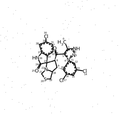 Cc1[nH]nnc1C(=O)[C@H]1[C@H](c2ccc(Cl)cc2Cl)C2CSCN2[C@]12C(=O)Nc1cc(Cl)ccc12